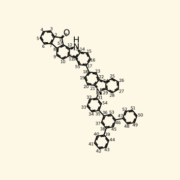 O=C1c2ccccc2-c2ccc3c([nH]c4ccc(-c5ccc6c(c5)c5ccccc5n6-c5cccc(-c6cc(-c7ccccc7)cc(-c7ccccc7)c6)c5)cc43)c21